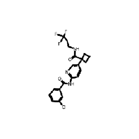 O=C(Nc1ccc(C2(C(=O)NCCC(F)(F)F)CCC2)cn1)c1cccc(Cl)c1